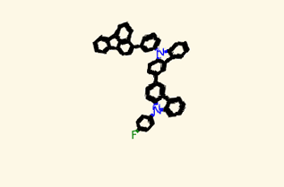 Fc1ccc(-n2c3ccccc3c3cc(-c4ccc5c(c4)c4ccccc4n5-c4cccc(-c5ccc6c7c(cccc57)-c5ccccc5-6)c4)ccc32)cc1